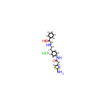 Cl.Nc1nc(CC(=O)Nc2ccc(CCNC[C@@H](O)c3ccccc3)cc2)cs1